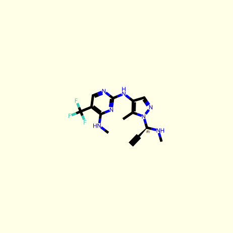 C#C[C@H](NC)n1ncc(Nc2ncc(C(F)(F)F)c(NC)n2)c1C